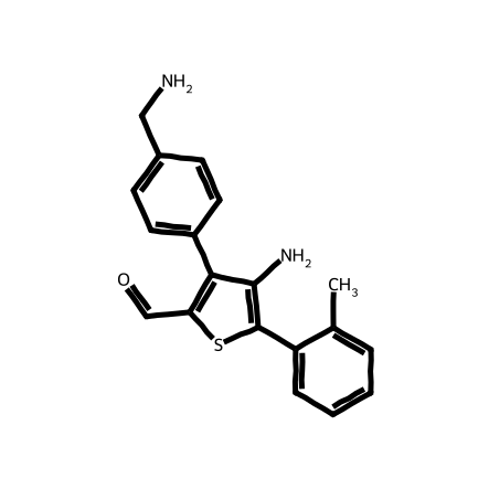 Cc1ccccc1-c1sc(C=O)c(-c2ccc(CN)cc2)c1N